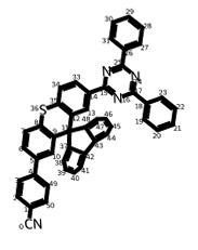 N#Cc1ccc(-c2ccc3c(c2)C2(c4cc(-c5nc(-c6ccccc6)nc(-c6ccccc6)n5)ccc4S3)c3ccccc3-c3ccccc32)cc1